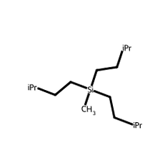 CC(C)CC[Si](C)(CCC(C)C)CCC(C)C